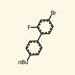 CCCCc1ccc(-c2ccc(Br)cc2F)cc1